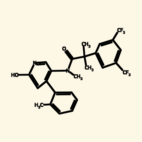 Cc1ccccc1-c1cc(O)ncc1N(C)C(=O)C(C)(C)c1cc(C(F)(F)F)cc(C(F)(F)F)c1